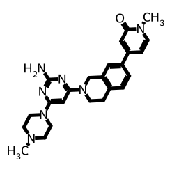 CN1CCN(c2cc(N3CCc4ccc(-c5ccn(C)c(=O)c5)cc4C3)nc(N)n2)CC1